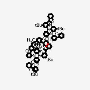 CC(C)(C)c1cc2c3c(c1)-n1c4sc5ccccc5c4c4cc(C(C)(C)C)cc(c41)B3c1ccc(N3c4ccc(C(C)(C)Cc5ccc6c(c5)oc5cccc(N7c8cc(N9c%10ccc(C(C)(C)C)cc%10C%10(C)CCCCC9%10C)ccc8B8c9c7cc(C(C)(C)C)cc9-n7c9sc%10ccccc%10c9c9cc(C(C)(C)C)cc8c97)c56)cc4C4(C)CCCCC34C)cc1N2c1cccc2c1oc1ccccc12